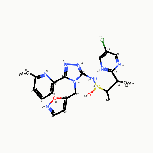 COc1cccc(-c2nnc(N[S+]([O-])C(C)C(OC)c3ncc(Cl)cn3)n2Cc2ccno2)n1